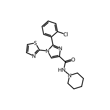 O=C(NN1CCCCC1)c1cn(-c2nccs2)c(-c2ccccc2Cl)n1